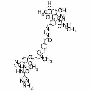 CCNC(=O)c1nnc(-c2cc(C(C)C)c(O)cc2O)n1-c1ccc(CN2CCN(C(=O)Cc3ccc(CC(=O)N(C)CCCOc4ccc5c(c4OC)N=C(NC(=O)c4cnc(N)nc4)N4CCN=C54)cc3)CC2)cc1